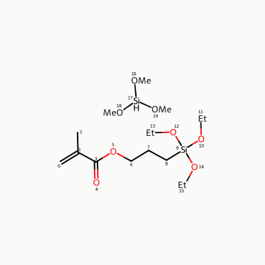 C=C(C)C(=O)OCCC[Si](OCC)(OCC)OCC.CO[SiH](OC)OC